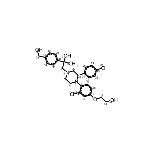 C[C@@](O)(CN1CCN(c2ccc(OCCO)cc2Cl)[C@H](c2ccc(Cl)cc2)C1)c1ccc(CO)cc1